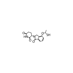 CC(S)Oc1cccc2c1CN(C1CCC(=O)NC1=O)C2=O